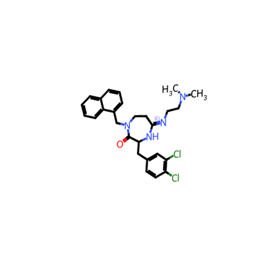 CN(C)CC/N=C1\CCN(Cc2cccc3ccccc23)C(=O)C(Cc2ccc(Cl)c(Cl)c2)N1